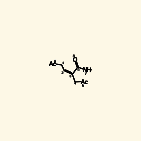 CC(=O)CC=C(CC(C)=O)C([NH])=O